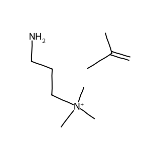 C=C(C)C.C[N+](C)(C)CCCN